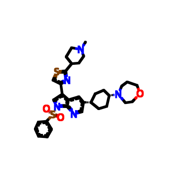 CN1CCC(c2nc(-c3cn(S(=O)(=O)c4ccccc4)c4ncc([C@H]5CC[C@@H](N6CCCOCC6)CC5)cc34)cs2)CC1